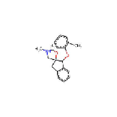 CNCC1(OC)Cc2ccccc2C1Oc1ccccc1C